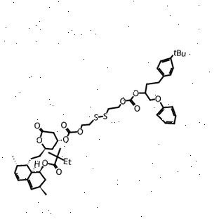 CCC(C)(C)C(=O)O[C@H]1C[C@@H](C)C=C2C=C[C@H](C)[C@H](CC[C@@H]3C[C@@H](OC(=O)OCCSSCCOC(=O)OC(CCc4ccc(C(C)(C)C)cc4)COc4ccccc4)CC(=O)O3)[C@H]21